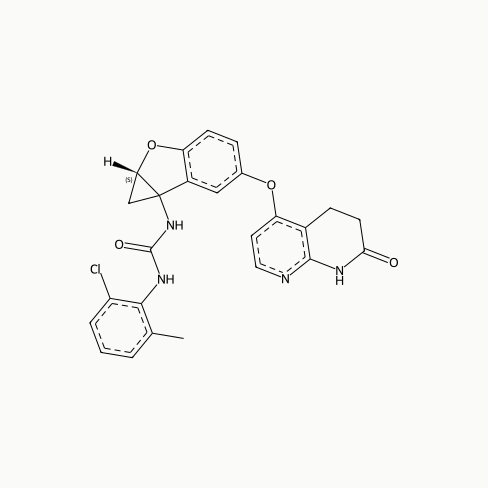 Cc1cccc(Cl)c1NC(=O)NC12C[C@@H]1Oc1ccc(Oc3ccnc4c3CCC(=O)N4)cc12